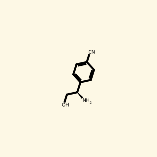 N#Cc1ccc([C@@H](N)CO)cc1